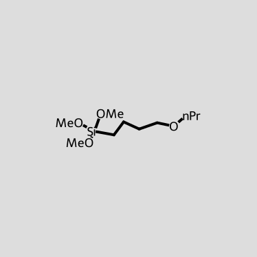 CCCOCCCC[Si](OC)(OC)OC